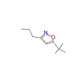 CCCc1cc(C(C)(C)C)on1